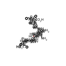 CC[C@H](C)[C@H](NC(=O)[C@H](CCCCN)NC(=O)[C@H](CC(N)=O)NC(=O)CNC(=O)[C@@H]1CCCN1C(=O)[C@H](Cc1ccccc1)NC(=O)[C@H](CC(=O)O)NC(=O)[C@H](Cc1ccccc1)NC(=O)[C@@H](N)Cc1ccccc1)C(=O)N[C@H](C(=O)N[C@@H](CO)C(=O)N[C@H](C(=O)N[C@@H](C)C(=O)NCC(=O)N[C@H](C(=O)N[C@@H](Cc1ccc(O)cc1)C(=O)N[C@@H](Cc1ccccc1)C(=O)O)C(C)C)C(C)C)[C@@H](C)O